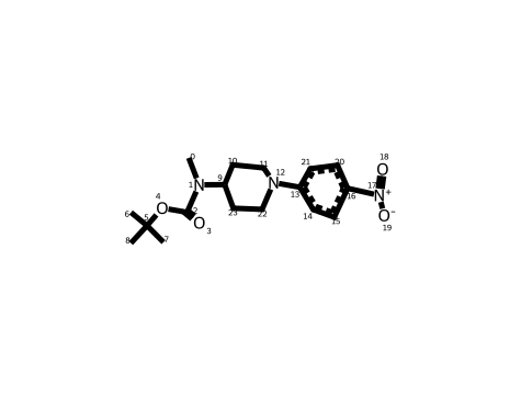 CN(C(=O)OC(C)(C)C)C1CCN(c2ccc([N+](=O)[O-])cc2)CC1